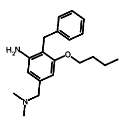 CCCCOc1cc(CN(C)C)cc(N)c1Cc1ccccc1